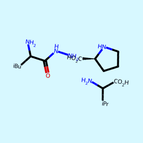 CC(C)C(N)C(=O)O.CCC(C)C(N)C(=O)NN.O=C(O)[C@@H]1CCCN1